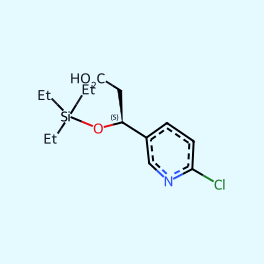 CC[Si](CC)(CC)O[C@@H](CC(=O)O)c1ccc(Cl)nc1